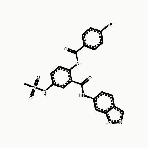 CC(C)(C)c1ccc(C(=O)Nc2ccc(NS(C)(=O)=O)cc2C(=O)Nc2ccc3cn[nH]c3c2)cc1